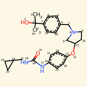 CC(O)(c1ccc(CN2CCC(Oc3ccc(NC(=O)NCC4CC4)cc3)C2)cc1)C(F)(F)F